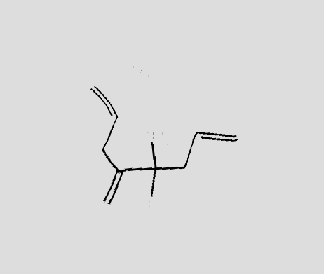 C=CCC(=C)C(N)(Cl)CC=C.Cl